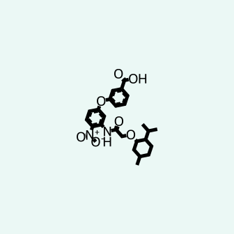 CC1CCC(C(C)C)C(OCC(=O)Nc2cc(Oc3cccc(C(=O)O)c3)ccc2[N+](=O)[O-])C1